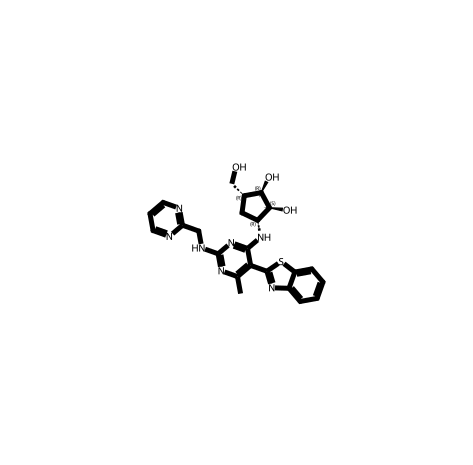 Cc1nc(NCc2ncccn2)nc(N[C@@H]2C[C@H](CO)[C@@H](O)[C@H]2O)c1-c1nc2ccccc2s1